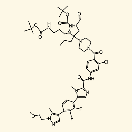 CCCC(CCC=O)(N1CCN(C(=O)c2ccc(NC(=O)c3ncc(-c4ccc(-c5cnn(CCOC)c5C)c(F)c4F)n3C)cc2Cl)CC1)N(CCCNC(=O)OC(C)(C)C)NC(=O)OC(C)(C)C